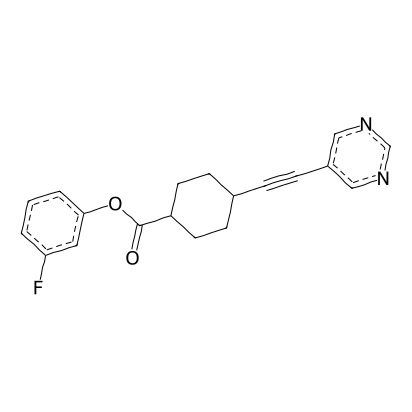 O=C(Oc1cccc(F)c1)C1CCC(C#Cc2cncnc2)CC1